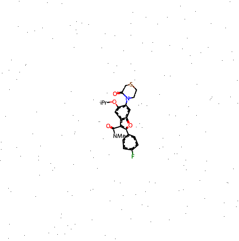 CNC(=O)c1c(-c2ccc(F)cc2)oc2cc(N3CCSCC3=O)c(OC(C)C)cc12